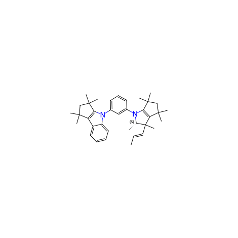 CC=CC1(C)C2=C(N(c3cccc(-n4c5c(c6ccccc64)C(C)(C)CC5(C)C)c3)[C@H]1C)C(C)(C)CC2(C)C